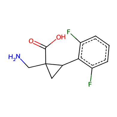 NCC1(C(=O)O)CC1c1c(F)cccc1F